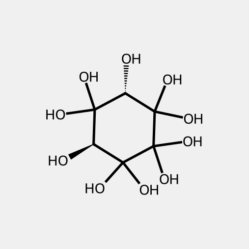 O[C@H]1C(O)(O)[C@H](O)C(O)(O)C(O)(O)C1(O)O